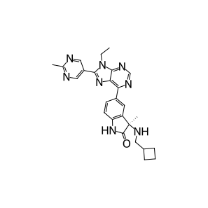 CCn1c(-c2cnc(C)nc2)nc2c(-c3ccc4c(c3)[C@@](C)(NCC3CCC3)C(=O)N4)ncnc21